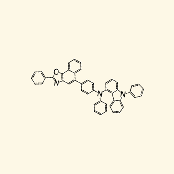 c1ccc(-c2nc3cc(-c4ccc(N(c5ccccc5)c5cccc6c5c5ccccc5n6-c5ccccc5)cc4)c4ccccc4c3o2)cc1